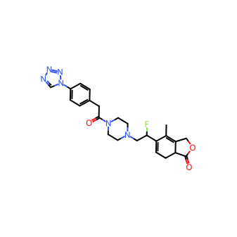 CC1=C2COC(=O)C2CC=C1C(F)CN1CCN(C(=O)Cc2ccc(-n3cnnn3)cc2)CC1